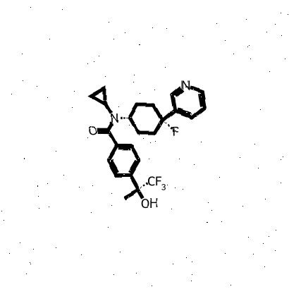 C[C@](O)(c1ccc(C(=O)N(C2CC2)[C@H]2CC[C@](F)(c3cccnc3)CC2)cc1)C(F)(F)F